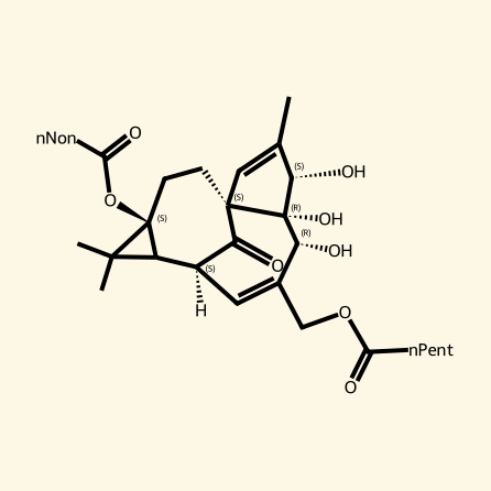 CCCCCCCCCC(=O)O[C@@]12CC[C@]34C=C(C)[C@H](O)[C@@]3(O)[C@H](O)C(COC(=O)CCCCC)=C[C@H](C4=O)C1C2(C)C